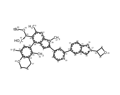 Cc1nc2c(cc(-c3ccnc(-c4ccc5nn(C6COC6)cc5c4)c3)n2C)c(-c2cc(F)c3c(c2C)CCCO3)c1[C@H](OC(C)(C)C)C(=O)O